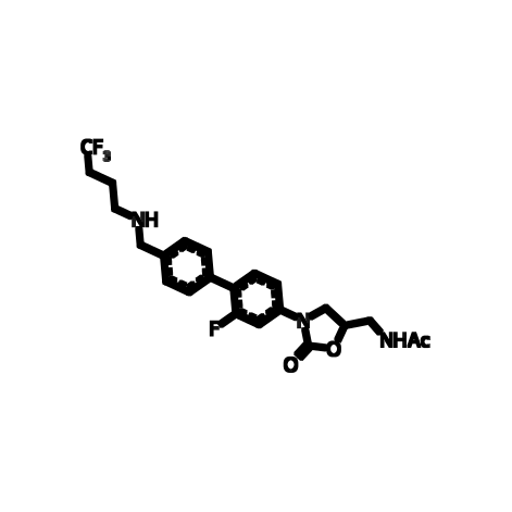 CC(=O)NCC1CN(c2ccc(-c3ccc(CNCCCC(F)(F)F)cc3)c(F)c2)C(=O)O1